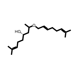 CC(C)=CCC/C=C/COC(C)C[C@@H](O)CCC=C(C)C